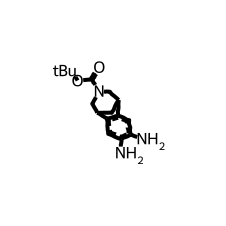 CC(C)(C)OC(=O)N1CC2CC(C1)c1cc(N)c(N)cc12